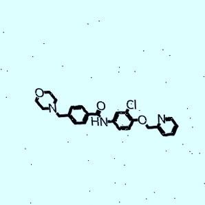 O=C(Nc1ccc(OCc2ccccn2)c(Cl)c1)c1ccc(CN2CCOCC2)cc1